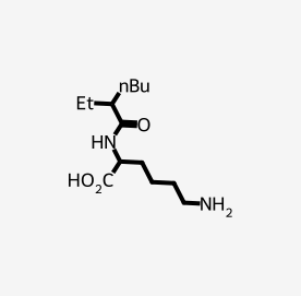 CCCCC(CC)C(=O)NC(CCCCN)C(=O)O